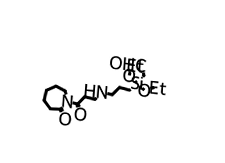 CCO[Si](CC=O)(CCCNCCC(=O)N1CCCCCC1=O)OCC